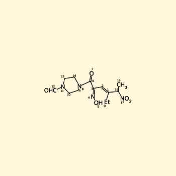 CCC(=CC(=NO)C(=O)N1CCN(C=O)CC1)C(C)[N+](=O)[O-]